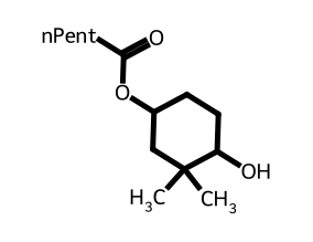 CCCCCC(=O)OC1CCC(O)C(C)(C)C1